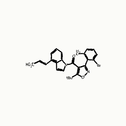 Cc1cccc(Br)c1-c1noc(C(C)(C)C)c1C(=O)n1ccc2c(/C=C/C(=O)O)cccc21